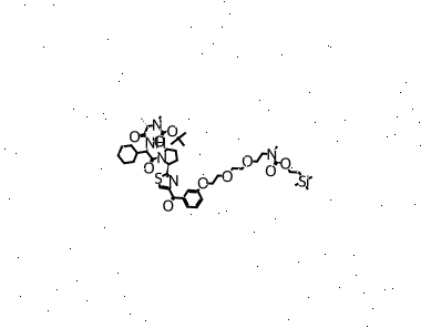 C[C@@H](C(=O)N[C@H](C(=O)N1CCC[C@H]1c1nc(C(=O)c2cccc(OCCOCCOCCN(C)C(=O)OCC[Si](C)(C)C)c2)cs1)C1CCCCC1)N(C)C(=O)OC(C)(C)C